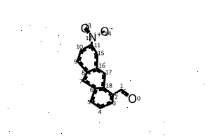 O=[C]c1cccc2cc3ccc([N+](=O)[O-])cc3cc12